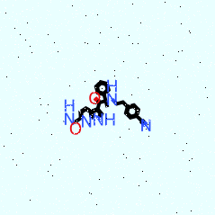 CNC(=O)c1ccc2c(C(=O)C(C)(NCCc3ccc(C#N)cc3)c3ccccc3)c[nH]c2n1